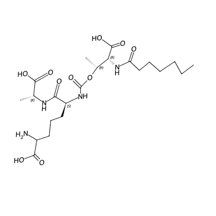 CCCCCCC(=O)N[C@@H](C(=O)O)[C@@H](C)OC(=O)N[C@@H](CCCC(N)C(=O)O)C(=O)N[C@H](C)C(=O)O